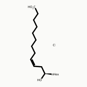 CCCCCC[C@@H](O)C/C=C\CCCCCCCC(=O)O.[C]